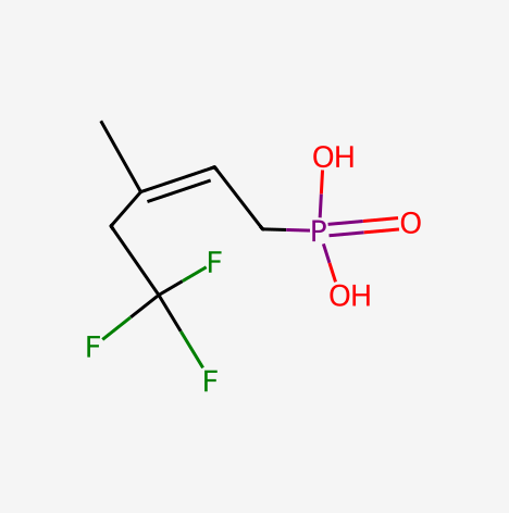 CC(=CCP(=O)(O)O)CC(F)(F)F